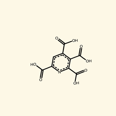 O=C(O)c1cc(C(=O)O)c(C(=O)O)c(C(=O)O)n1